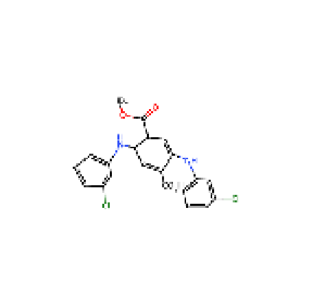 CCC(C)OC(=O)C1C=C(Nc2cccc(Cl)c2)C(C(=O)O)=CC1Nc1cccc(Cl)c1